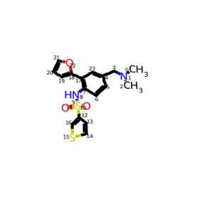 CN(C)Cc1ccc(NS(=O)(=O)c2ccsc2)c(-c2ccco2)c1